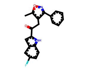 Cc1onc(-c2ccccc2)c1CC(=O)c1cc2cc(F)ccc2[nH]1